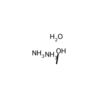 CO.N.N.O